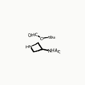 CC(=O)NC1CNC1.CC(C)(C)OC=O